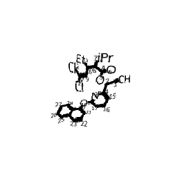 C#CC(OC(=O)C(C(C)C)C(C=C(Cl)Cl)CC)c1cccc(Oc2cccc3ccccc23)n1